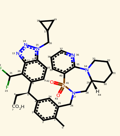 Cc1ccc([C@@H](CC(=O)O)c2ccc3c(nnn3CC3CC3)c2C(F)F)cc1CN1C[C@H]2CCCCN2c2ncccc2S1(=O)=O